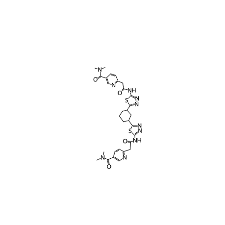 CN(C)C(=O)c1ccc(CC(=O)Nc2nnc(C3CCCC(c4nnc(NC(=O)Cc5ccc(C(=O)N(C)C)cn5)s4)C3)s2)nc1